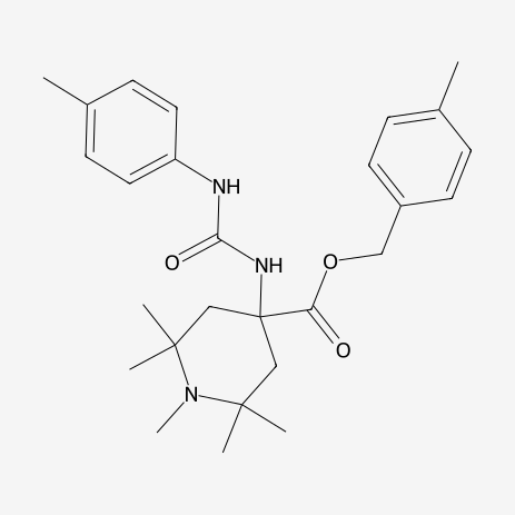 Cc1ccc(COC(=O)C2(NC(=O)Nc3ccc(C)cc3)CC(C)(C)N(C)C(C)(C)C2)cc1